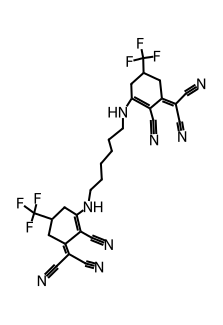 N#CC(C#N)=C1CC(C(F)(F)F)CC(NCCCCCCNC2=C(C#N)C(=C(C#N)C#N)CC(C(F)(F)F)C2)=C1C#N